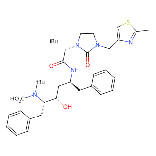 CC[C@H](C)[C@@H](C(=O)N[C@@H](Cc1ccccc1)C[C@H](O)[C@H](Cc1ccccc1)N(C(=O)O)C(C)(C)C)N1CCN(Cc2csc(C)n2)C1=O